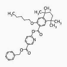 CCCCCOc1cc2c(cc1C(=O)Oc1ccc(C(=O)OCc3ccccc3)cn1)C(C)(C)CCC2(C)C